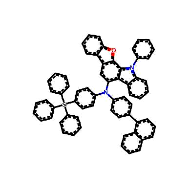 c1ccc(-n2c3ccccc3c3c(N(c4ccc(-c5cccc6ccccc56)cc4)c4ccc([Si](c5ccccc5)(c5ccccc5)c5ccccc5)cc4)cc4c5ccccc5oc4c32)cc1